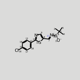 CC(C)(C)[S@@+]([O-])/N=C/c1cnc(-c2ccc(Cl)cc2)s1